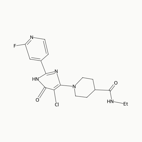 CCNC(=O)C1CCN(c2nc(-c3ccnc(F)c3)[nH]c(=O)c2Cl)CC1